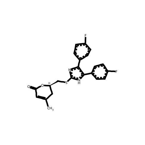 CC1=CC(=O)O[C@@H](CSc2nc(-c3ccc(F)cc3)c(-c3ccc(F)cc3)[nH]2)C1